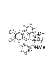 CNC1CCC(c2ccc(Cl)c(Cl)c2)c2ccccc21.O=C(O)C(O)c1ccccc1